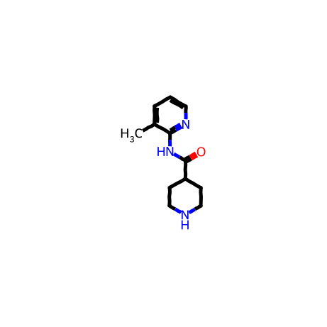 Cc1cccnc1NC(=O)C1CCNCC1